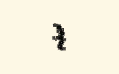 Cc1c(NC(=O)c2ccc(C(C)(C)C)cc2)cccc1-c1nc(N)nc(Nc2ccc(N3CCCC(O)C3)cc2)n1